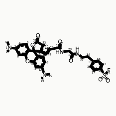 CN(C)c1ccc2c(c1)Oc1cc(N(C)C)ccc1C21OC(=O)c2cc(C(=O)NCC(=O)NCCc3ccc(S(=O)(=O)F)cc3)ccc21